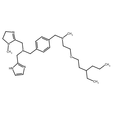 CCCC(CC)CCOCCN(C)Cc1ccc(CN(CC2=NCCN2C)Cc2ncc[nH]2)cc1